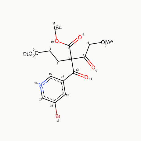 CCOC(=O)CCC(C(=O)COC)(C(=O)OC(C)(C)C)C(=O)c1cncc(Br)c1